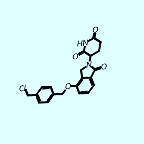 O=C1CCC(N2Cc3c(OCc4ccc(CCl)cc4)cccc3C2=O)C(=O)N1